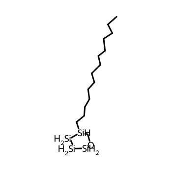 CCCCCCCCCCCCCC[SiH]1CO[SiH2][SiH2][SiH2]1